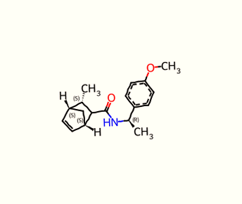 COc1ccc([C@@H](C)NC(=O)C2[C@@H]3C=C[C@@H](C3)[C@@H]2C)cc1